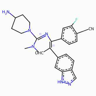 CN(C)/C(=N\C(=C(/C=O)c1ccc2cn[nH]c2c1)c1ccc(C#N)c(F)c1)N1CCC(N)CC1